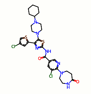 O=C1CCN(c2ncc(C(=O)Nc3nc(-c4cc(Cl)cs4)c(N4CCN(C5CCCCC5)CC4)s3)cc2Cl)CCN1